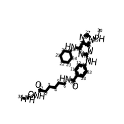 O=C(CCCCCNC(=O)c1ccc(Nc2nc(NC3CCCCC3)c3ncn(PI)c3n2)cc1)NOPI